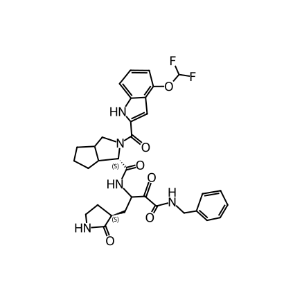 O=C(NCc1ccccc1)C(=O)C(C[C@@H]1CCNC1=O)NC(=O)[C@@H]1C2CCCC2CN1C(=O)c1cc2c(OC(F)F)cccc2[nH]1